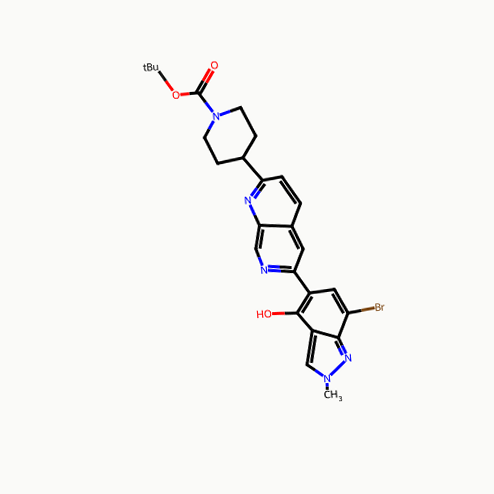 Cn1cc2c(O)c(-c3cc4ccc(C5CCN(C(=O)OC(C)(C)C)CC5)nc4cn3)cc(Br)c2n1